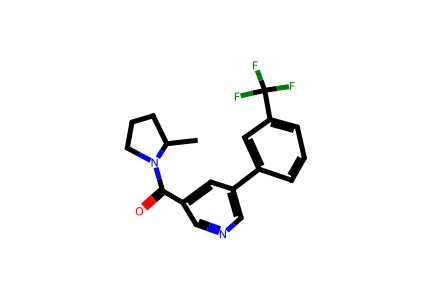 CC1CCCN1C(=O)c1cncc(-c2cccc(C(F)(F)F)c2)c1